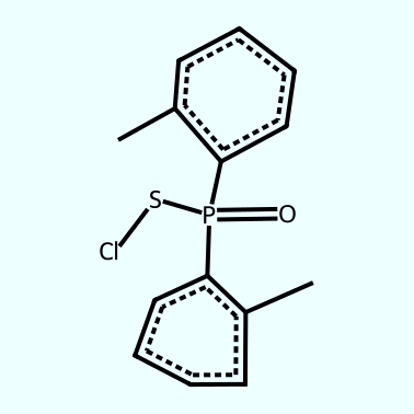 Cc1ccccc1P(=O)(SCl)c1ccccc1C